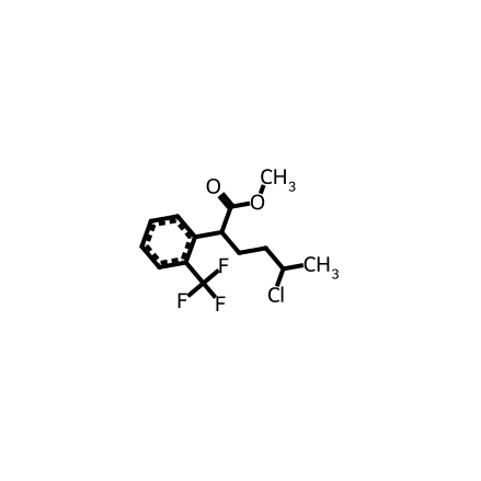 COC(=O)C(CCC(C)Cl)c1ccccc1C(F)(F)F